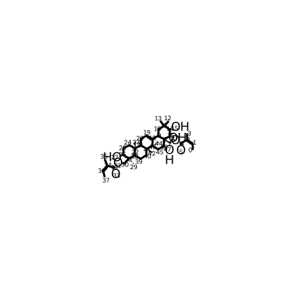 C/C=C(/C)C(=O)OC[C@@]12C(CC(C)(C)[C@@H](O)[C@@H]1O)C1=CCC3[C@@]4(C)CC[C@H](O)[C@](C)(COC(=O)/C(C)=C\C)C4CC[C@@]3(C)[C@]1(C)C[C@H]2O